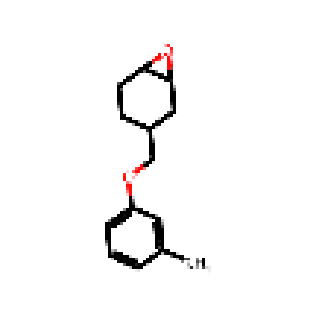 Cc1cccc(OCC2CCC3OC3C2)c1